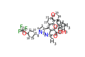 Cc1nc2c(ccn2Cc2ccc(OC(F)(F)F)cc2)c(-c2ccc3c(c2)CCCO3)c1C(OC(C)(C)C)C(=O)O